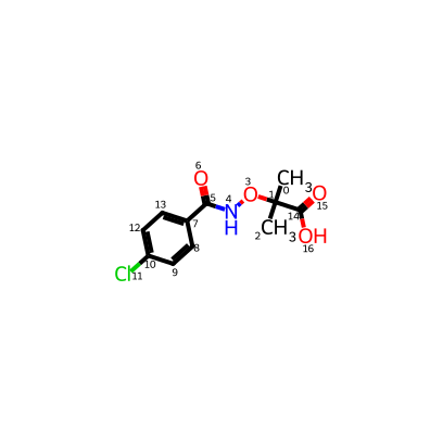 CC(C)(ONC(=O)c1ccc(Cl)cc1)C(=O)O